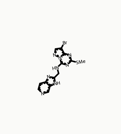 CSc1nc(NCc2nc3ccncc3[nH]2)n2ncc(Br)c2n1